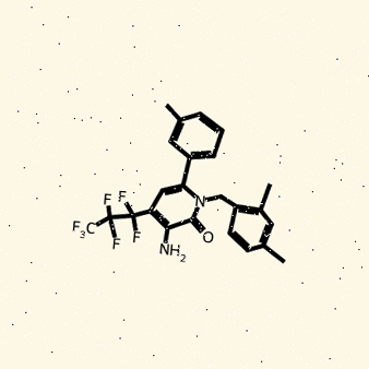 Cc1cccc(-c2cc(C(F)(F)C(F)(F)C(F)(F)F)c(N)c(=O)n2Cc2ccc(C)cc2C)c1